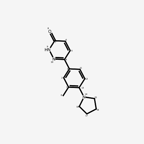 Cc1cc(-c2ccc(=O)[nH]n2)ccc1N1CCCC1